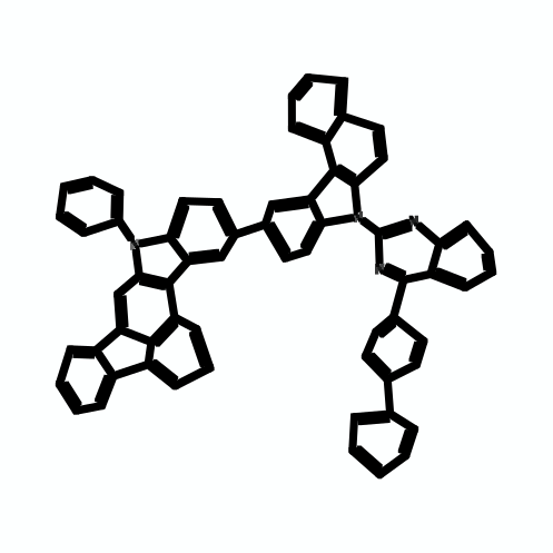 c1ccc(-c2ccc(-c3nc(-n4c5ccc(-c6ccc7c(c6)c6c8cccc9c8c(cc6n7-c6ccccc6)-c6ccccc6-9)cc5c5c6ccccc6ccc54)nc4ccccc34)cc2)cc1